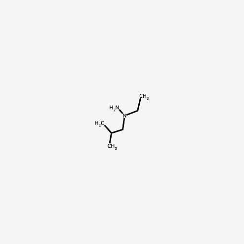 CCN(N)CC(C)C